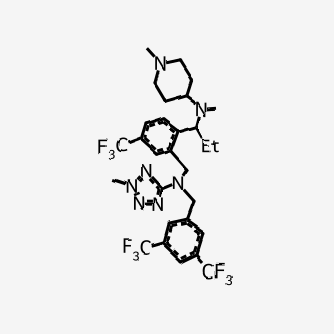 CCC(c1ccc(C(F)(F)F)cc1CN(Cc1cc(C(F)(F)F)cc(C(F)(F)F)c1)c1nnn(C)n1)N(C)C1CCN(C)CC1